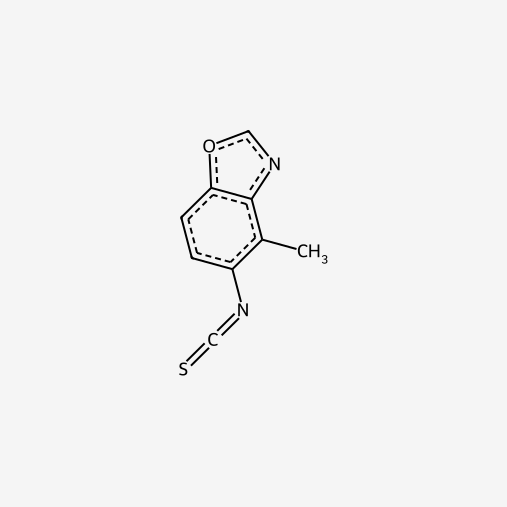 Cc1c(N=C=S)ccc2ocnc12